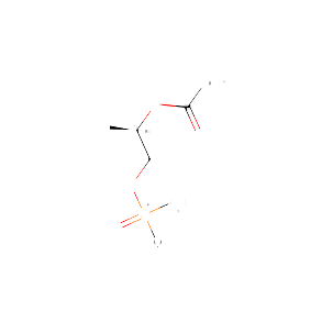 CCCCCC(=O)O[C@H](CC)CO[P](C)(=O)[Mo]